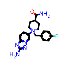 NC(=O)C1CC[N+](Cc2ccc(F)cc2)(c2ccc3nc(N)nn3c2)CC1